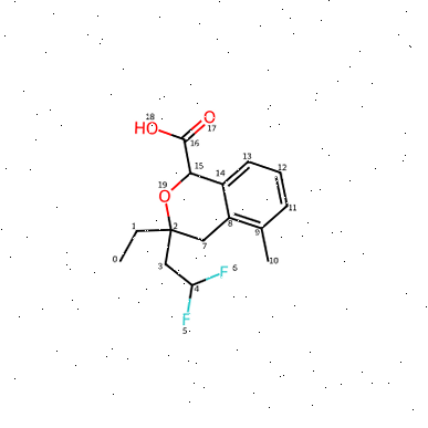 CCC1(CC(F)F)Cc2c(C)cccc2C(C(=O)O)O1